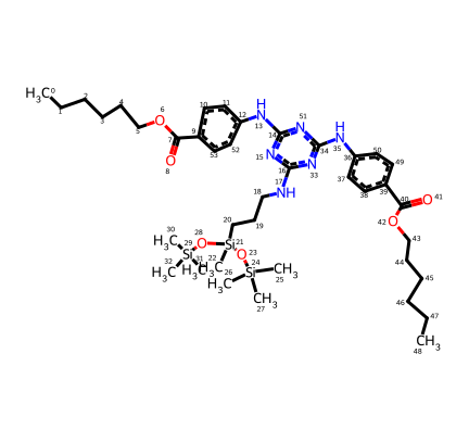 CCCCCCOC(=O)c1ccc(Nc2nc(NCCC[Si](C)(O[Si](C)(C)C)O[Si](C)(C)C)nc(Nc3ccc(C(=O)OCCCCCC)cc3)n2)cc1